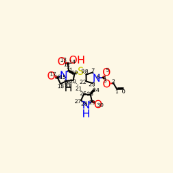 C=CCOC(=O)N1C[C@@H](SC2=C(C(=O)O)N3C(=O)C[C@H]3[C@H]2C)C[C@H]1/C=C1\CCNC1=O